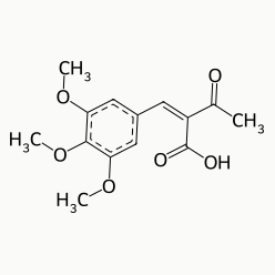 COc1cc(C=C(C(C)=O)C(=O)O)cc(OC)c1OC